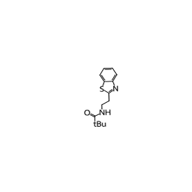 CC(C)(C)C(=O)NCCc1nc2ccccc2s1